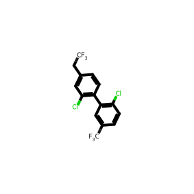 FC(F)(F)Cc1c[c]c(-c2cc(C(F)(F)F)ccc2Cl)c(Cl)c1